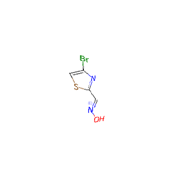 O/N=C/c1nc(Br)cs1